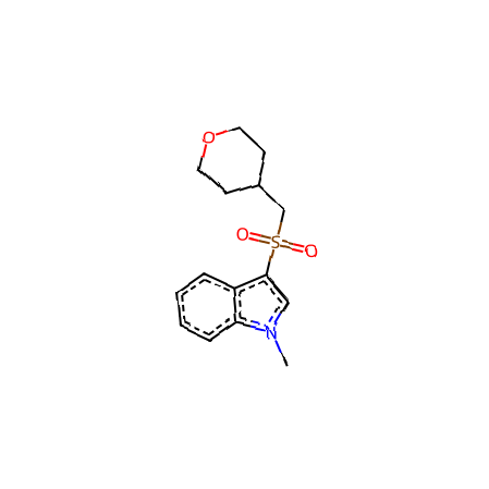 Cn1cc(S(=O)(=O)CC2CCOCC2)c2ccccc21